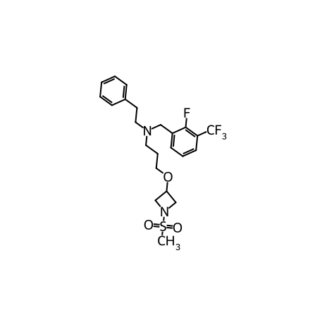 CS(=O)(=O)N1CC(OCCCN(CCc2ccccc2)Cc2cccc(C(F)(F)F)c2F)C1